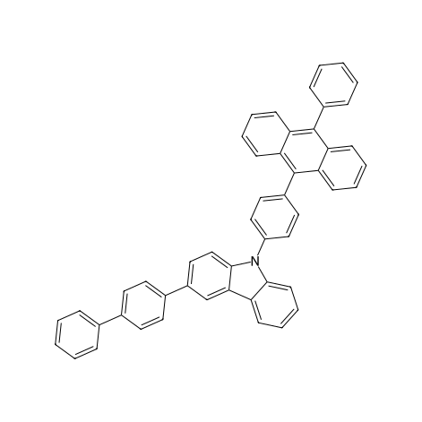 c1ccc(-c2ccc(-c3ccc4c(c3)c3ccccc3n4-c3ccc(-c4c5ccccc5c(-c5ccccc5)c5ccccc45)cc3)cc2)cc1